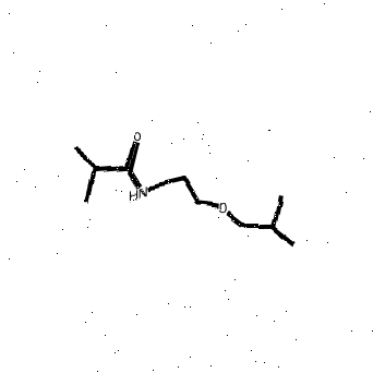 CC(C)COCCNC(=O)C(C)C